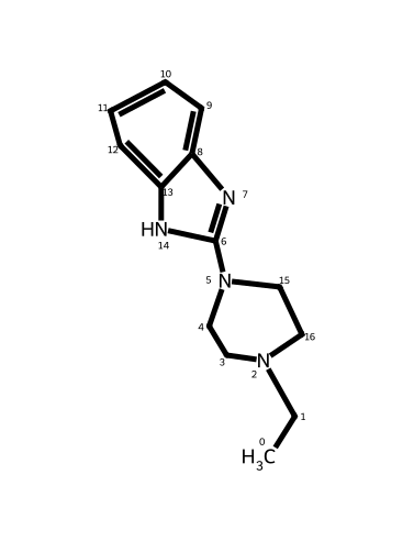 CCN1CCN(c2nc3ccccc3[nH]2)CC1